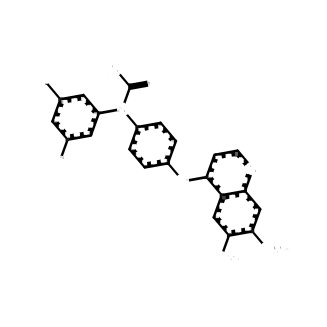 COc1cc2nccc(Oc3ccc(N(C(N)=O)c4cc(Cl)cc(Cl)c4)cc3)c2cc1OC